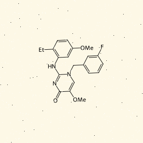 CCc1ccc(OC)cc1Nc1nc(=O)c(OC)cn1Cc1cccc(F)c1